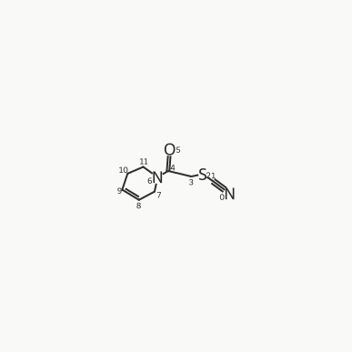 N#CSCC(=O)N1CC=CCC1